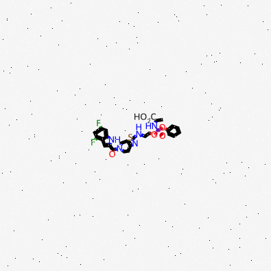 CC(NP(=O)(OCCNc1nc2c(s1)CN(C(=O)c1cc3c(F)cc(F)cc3[nH]1)CC2)Oc1ccccc1)C(=O)O